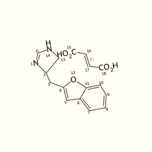 C1=NC(Cc2cc3ccccc3o2)CN1.O=C(O)/C=C/C(=O)O